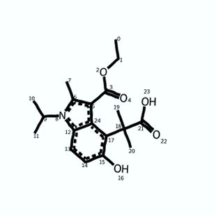 CCOC(=O)c1c(C)n(C(C)C)c2ccc(O)c(C(C)(C)C(=O)O)c12